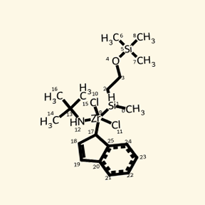 C[SiH](CCO[Si](C)(C)C)[Zr]([Cl])([Cl])([NH]C(C)(C)C)[CH]1C=Cc2ccccc21